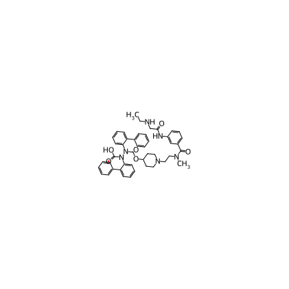 CCNCC(=O)Nc1cccc(C(=O)N(C)CCN2CCC(OC(=O)N(c3ccccc3-c3ccccc3)N(C(=O)O)c3ccccc3-c3ccccc3)CC2)c1